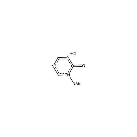 CNn1cncnc1=O.Cl